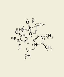 CC1N(C)C=CN1CCO.O=S(=O)(NS(=O)(=O)C(F)(F)F)C(F)(F)F